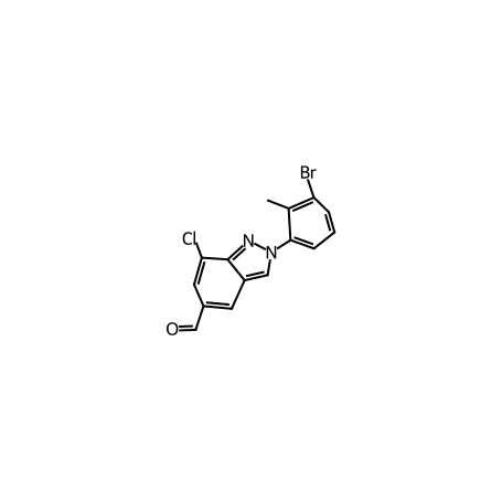 Cc1c(Br)cccc1-n1cc2cc(C=O)cc(Cl)c2n1